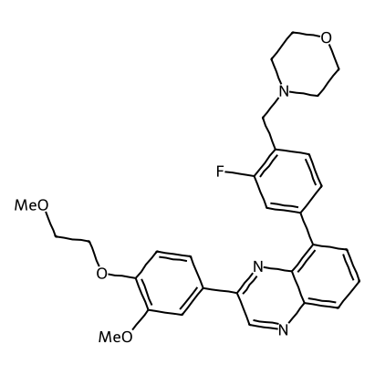 COCCOc1ccc(-c2cnc3cccc(-c4ccc(CN5CCOCC5)c(F)c4)c3n2)cc1OC